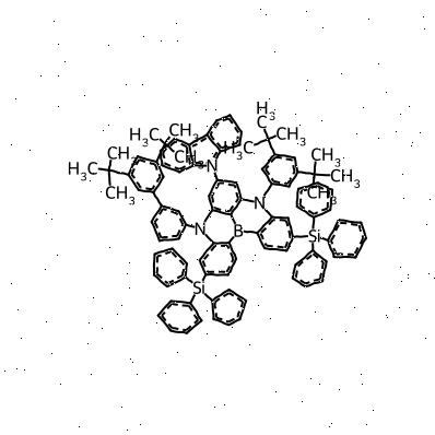 CC(C)(C)c1cc(-c2cccc(N3c4cc([Si](c5ccccc5)(c5ccccc5)c5ccccc5)ccc4B4c5ccc([Si](c6ccccc6)(c6ccccc6)c6ccccc6)cc5N(c5cc(C(C)(C)C)cc(C(C)(C)C)c5)c5cc(-n6c7ccccc7c7ccccc76)cc3c54)c2)cc(C(C)(C)C)c1